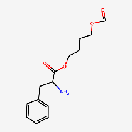 NC(Cc1ccccc1)C(=O)OCCCCOC=O